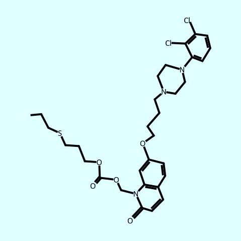 CCCSCCCOC(=O)OCn1c(=O)ccc2ccc(OCCCCN3CCN(c4cccc(Cl)c4Cl)CC3)cc21